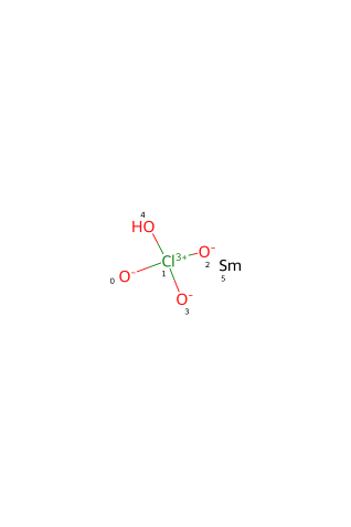 [O-][Cl+3]([O-])([O-])O.[Sm]